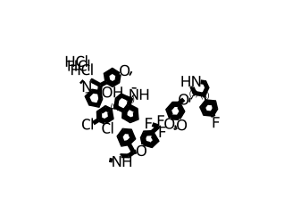 CNCCC(Oc1ccc(C(F)(F)F)cc1)c1ccccc1.CN[C@H]1CC[C@@H](c2ccc(Cl)c(Cl)c2)c2ccccc21.COc1ccc(C(CN(C)C)C2(O)CCCCC2)cc1.Cl.Cl.Cl.Fc1ccc([C@@H]2CCNC[C@H]2COc2ccc3c(c2)OCO3)cc1